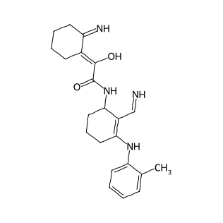 Cc1ccccc1NC1=C(C=N)C(NC(=O)/C(O)=C2\CCCCC2=N)CCC1